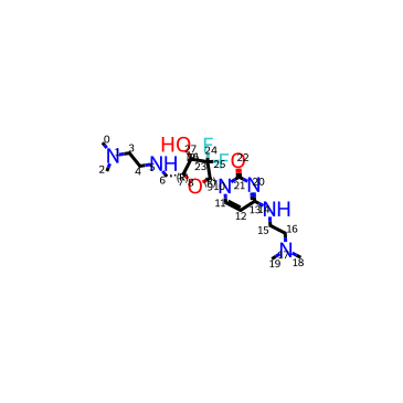 CN(C)CCNC[C@H]1O[C@@H](n2ccc(NCCN(C)C)nc2=O)C(F)(F)[C@@H]1O